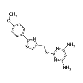 COc1ccc(-c2nc(CSc3nc(N)cc(N)n3)cs2)cc1